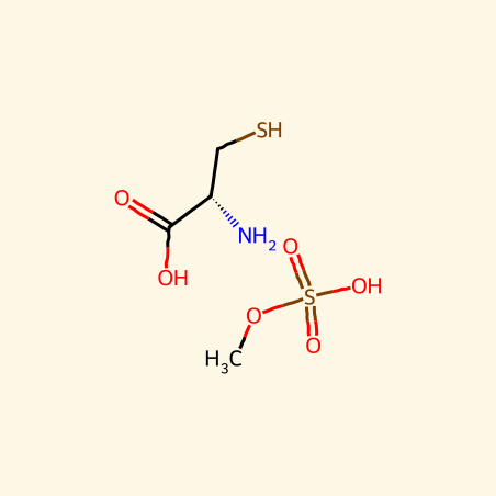 COS(=O)(=O)O.N[C@@H](CS)C(=O)O